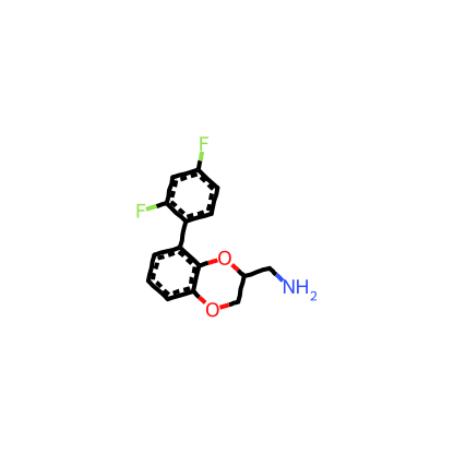 NCC1COc2cccc(-c3ccc(F)cc3F)c2O1